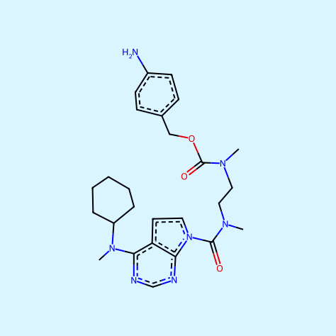 CN(CCN(C)C(=O)n1ccc2c(N(C)C3CCCCC3)ncnc21)C(=O)OCc1ccc(N)cc1